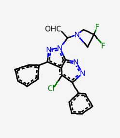 O=CC(N1CC(F)(F)C1)n1nc(-c2ccccc2)c2c(Cl)c(-c3ccccc3)nnc21